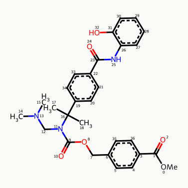 COC(=O)c1ccc(COC(=O)N(CN(C)C)C(C)(C)c2ccc(C(=O)Nc3ccccc3O)cc2)cc1